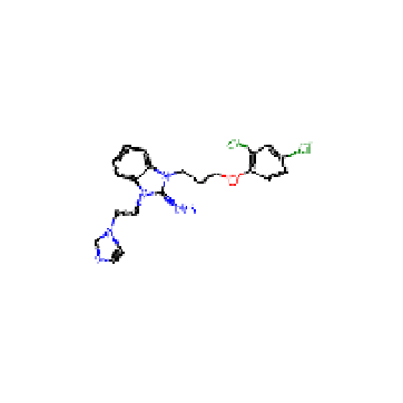 N=c1n(CCCOc2ccc(Cl)cc2Cl)c2ccccc2n1CCn1ccnc1